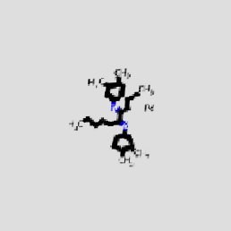 CCCCCC(=N\c1ccc(C)c(C)c1)/C(CCCC)=N/c1ccc(C)c(C)c1.[Pd]